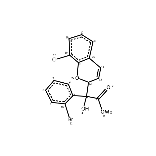 COC(=O)C(O)(c1ccccc1Br)C1C=Cc2cccc(Cl)c2O1